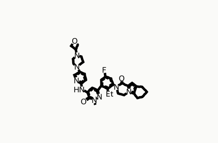 CCc1c(-c2cc(Nc3ccc(N4CCN(C5COC5)CC4)cn3)c(=O)n(C)n2)cc(F)cc1N1CCn2c(cc3c2CCCC3)C1=O